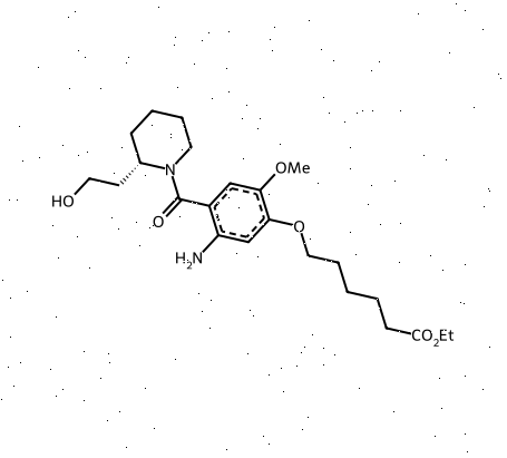 CCOC(=O)CCCCCOc1cc(N)c(C(=O)N2CCCC[C@H]2CCO)cc1OC